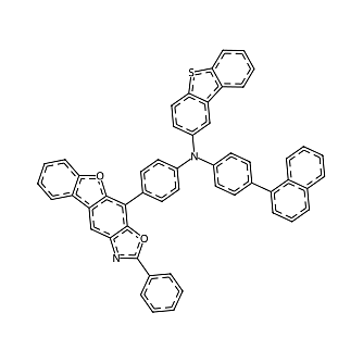 c1ccc(-c2nc3cc4c(oc5ccccc54)c(-c4ccc(N(c5ccc(-c6cccc7ccccc67)cc5)c5ccc6sc7ccccc7c6c5)cc4)c3o2)cc1